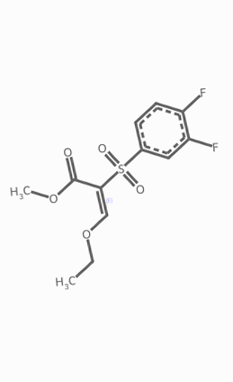 CCO/C=C(\C(=O)OC)S(=O)(=O)c1ccc(F)c(F)c1